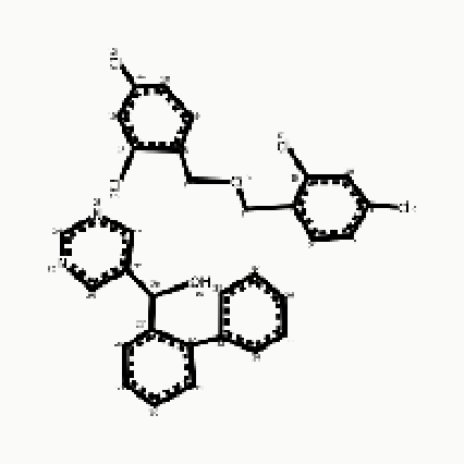 Clc1ccc(COCc2ccc(Cl)cc2Cl)c(Cl)c1.OC(c1cncnc1)c1ccccc1-c1ccccc1